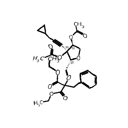 CCOC(=O)C(Cc1ccccc1)(OC[C@H]1OC[C@H](OC(C)=O)[C@]1(C#CC1CC1)OC(C)=O)C(=O)OCC